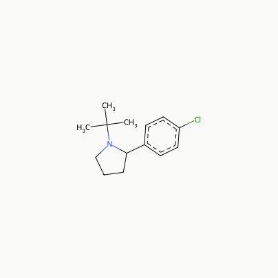 CC(C)(C)N1CCCC1c1ccc(Cl)cc1